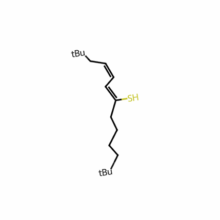 CC(C)(C)C/C=C\C=C(/S)CCCCC(C)(C)C